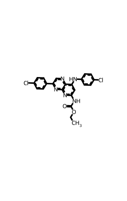 CCOC(=O)Nc1cc(Nc2ccc(Cl)cc2)c2ncc(-c3ccc(Cl)cc3)nc2n1